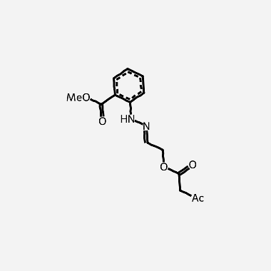 COC(=O)c1ccccc1NN=CCOC(=O)CC(C)=O